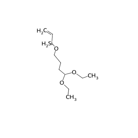 C=C[SiH2]OCCCC(OCC)OCC